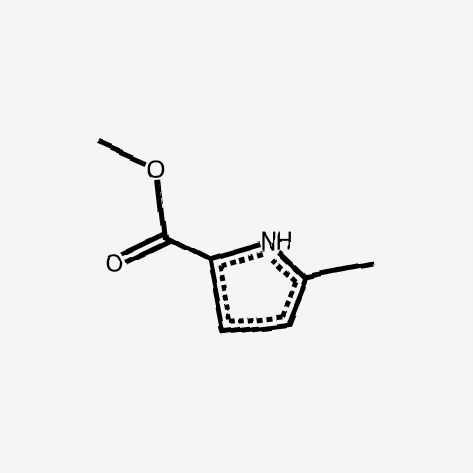 COC(=O)c1ccc(C)[nH]1